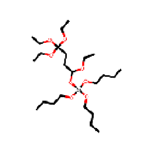 CCCCO[Si](OCCCC)(OCCCC)OC(CCC(OCC)(OCC)OCC)OCC